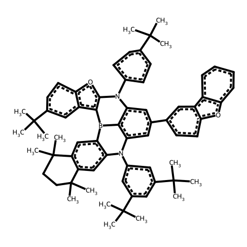 CC(C)(C)c1ccc(N2c3cc(-c4ccc5oc6ccccc6c5c4)cc4c3B(c3cc5c(cc3N4c3cc(C(C)(C)C)cc(C(C)(C)C)c3)C(C)(C)CCC5(C)C)c3c2oc2ccc(C(C)(C)C)cc32)cc1